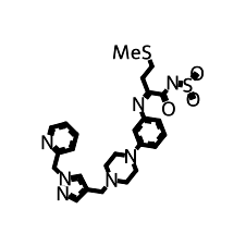 CSCCC(=Nc1cccc(N2CCN(Cc3cnn(Cc4ccccn4)c3)CC2)c1)C(=O)N=S(=O)=O